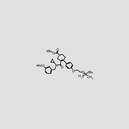 COc1cccc(CN(C(=O)C2=C(c3ccc(OCCO[Si](C)(C)C(C)(C)C)cc3)CCN(C(=O)OC(C)(C)C)C2)C2CC2)c1